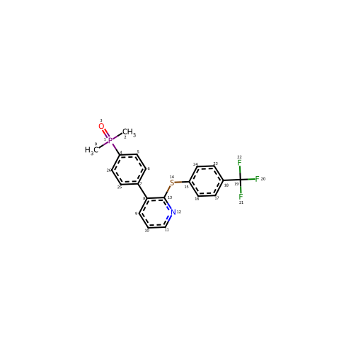 CP(C)(=O)c1ccc(-c2cccnc2Sc2ccc(C(F)(F)F)cc2)cc1